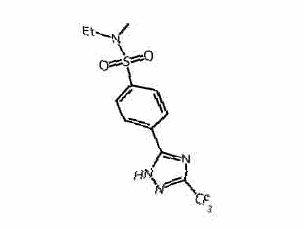 CCN(C)S(=O)(=O)c1ccc(-c2nc(C(F)(F)F)n[nH]2)cc1